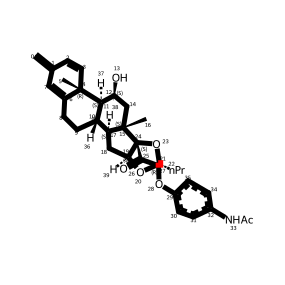 C=C1C=C[C@@]2(C)C(=C1)CC[C@@H]1[C@@H]2[C@@H](O)C[C@@]2(C)[C@H]1C[C@@H]1O[C@@H](CCC)O[C@]12C(=O)COc1ccc(NC(C)=O)cc1